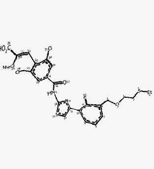 CCSCCOCc1cccc(-c2csc(NC(=O)c3cc(Cl)c(/C=C(\OC)C(=O)O)c(Cl)c3)n2)c1F